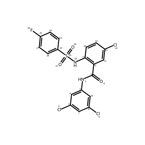 O=C(Nc1cc(Cl)cc(Cl)c1)c1cc(Cl)ccc1NS(=O)(=O)c1ccc(F)cc1